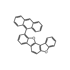 c1ccc2c(-c3cccc4c3oc3c4ccc4oc5ccccc5c43)c3ccccc3cc2c1